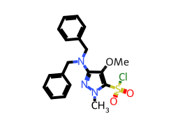 COc1c(N(Cc2ccccc2)Cc2ccccc2)nn(C)c1S(=O)(=O)Cl